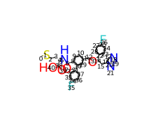 CSCC[C@H](NC(=O)c1ccc(COC(Cc2cncn2C)c2ccc(F)cc2)cc1-c1ccc(F)cc1)C(=O)O